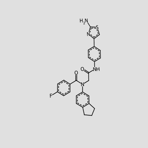 Nc1nc(-c2ccc(NC(=O)CN(C(=O)c3ccc(F)cc3)c3ccc4c(c3)CCC4)cc2)cs1